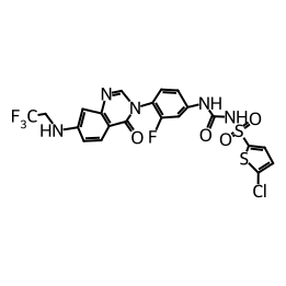 O=C(Nc1ccc(-n2cnc3cc(NCC(F)(F)F)ccc3c2=O)c(F)c1)NS(=O)(=O)c1ccc(Cl)s1